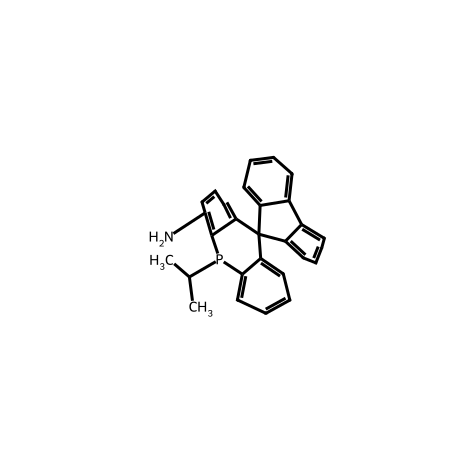 CC(C)P1c2ccccc2C2(c3ccccc3-c3ccccc32)c2cccc(N)c21